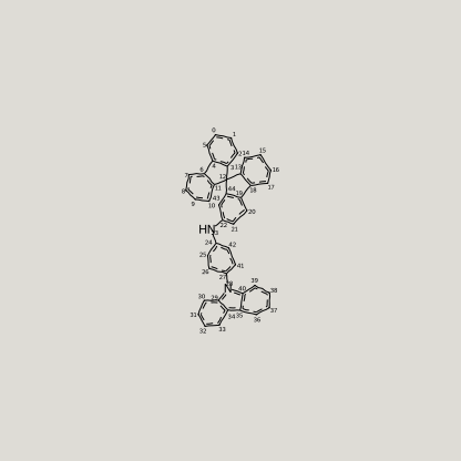 c1ccc2c(c1)-c1ccccc1C21c2ccccc2-c2ccc(Nc3ccc(-n4c5ccccc5c5ccccc54)cc3)cc21